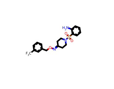 Nc1ccccc1S(=O)(=O)N1CCC(=NOCc2cccc(C(F)(F)F)c2)CC1